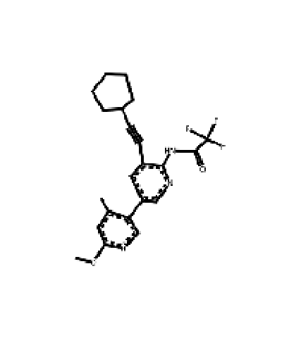 COc1cc(C)c(-c2cnc(NC(=O)C(F)(F)F)c(C#CC3CCCCC3)c2)cn1